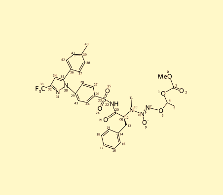 COC(=O)OC(C)ON=[N+]([O-])N(C)[C@@H](Cc1ccccc1)C(=O)NS(=O)(=O)c1ccc(-n2nc(C(F)(F)F)cc2-c2ccc(C)cc2)cc1